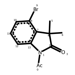 CC(=O)N1C(=O)C(C)(C)c2c(Br)cccc21